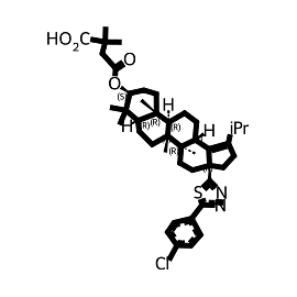 CC(C)C1=C2[C@H]3CC[C@@H]4[C@@]5(C)CC[C@H](OC(=O)CC(C)(C)C(=O)O)C(C)(C)[C@@H]5CC[C@@]4(C)[C@]3(C)CC[C@@]2(c2nnc(-c3ccc(Cl)cc3)s2)CC1